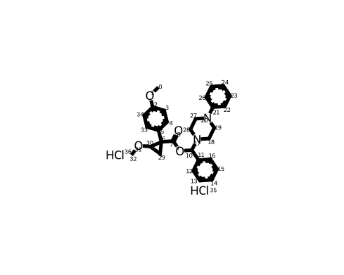 COc1ccc(C2(C(=O)OC(c3ccccc3)N3CCN(c4ccccc4)CC3)CC2OC)cc1.Cl.Cl